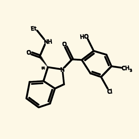 CCNC(=O)[C@H]1c2ccccc2CN1C(=O)c1cc(Cl)c(C)cc1O